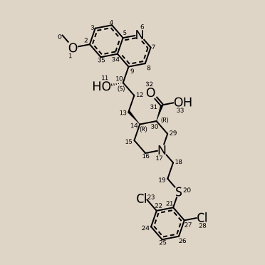 COc1ccc2nccc([C@@H](O)CC[C@@H]3CCN(CCSc4c(Cl)cccc4Cl)C[C@@H]3C(=O)O)c2c1